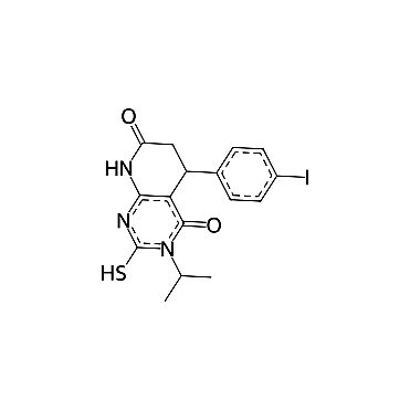 CC(C)n1c(S)nc2c(c1=O)C(c1ccc(I)cc1)CC(=O)N2